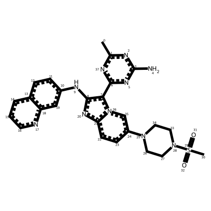 Cc1nc(N)nc(-c2c(Nc3ccc4cccnc4c3)nc3ccc(N4CCN(S(C)(=O)=O)CC4)cn23)n1